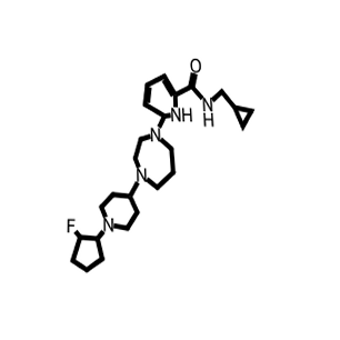 O=C(NCC1CC1)C1=CC=CC(N2CCCN(C3CCN(C4CCCC4F)CC3)CC2)N1